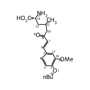 CCCCOc1ccc(C=CC(=O)CC(C)C[C@H](N)C(=O)O)cc1OC